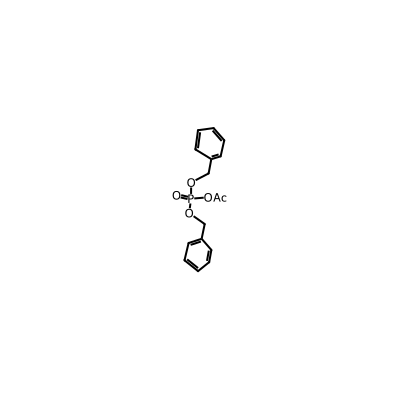 CC(=O)OP(=O)(OCc1ccccc1)OCc1ccccc1